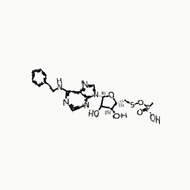 CP(=O)(O)OSC[C@H]1O[C@@H](n2cnc3c(NCc4ccccc4)ncnc32)C(O)[C@@H]1O